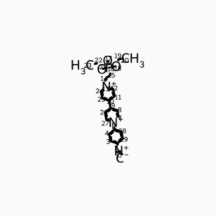 [C-]#[N+]c1ccc(-[n+]2ccc(-c3cc[n+](CCP(=O)(OCC)OCC)cc3)cc2)cc1